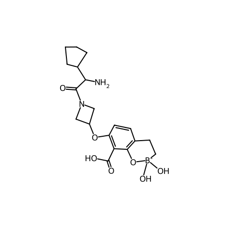 NC(C(=O)N1CC(Oc2ccc3c(c2C(=O)O)O[B-](O)(O)CC3)C1)C1CCCC1